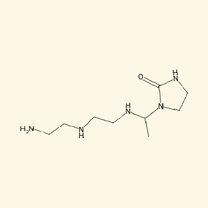 CC(NCCNCCN)N1CCNC1=O